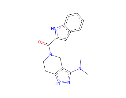 CN(C)c1n[nH]c2c1CN(C(=O)c1cc3ccccc3[nH]1)CC2